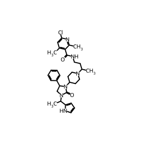 Cc1cc(Cl)nc(C)c1C(=O)NCCC(C)N1CCC(N2C(=O)N(C(C)c3ccc[nH]3)CC2c2ccccc2)CC1